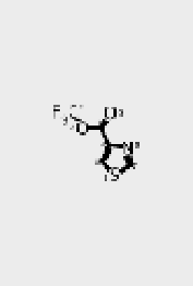 O=C(OC(F)(F)F)c1cscn1